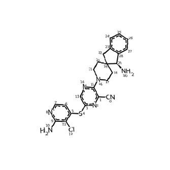 N#Cc1nc(Sc2ccnc(N)c2Cl)cnc1N1CCC2(CC1)Cc1ccccc1[C@H]2N